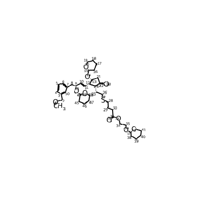 COCc1cccc(C[C@@H](/C=C/[C@H]2[C@H](OC3CCCCO3)CC(=O)[C@@H]2CCSCCCC(=O)OCCOC2CCCCO2)OC2CCCCO2)c1